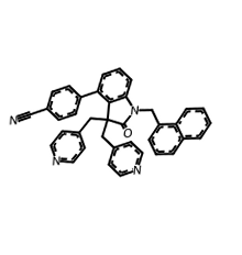 N#Cc1ccc(-c2cccc3c2C(Cc2ccncc2)(Cc2ccncc2)C(=O)N3Cc2cccc3ccccc23)cc1